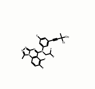 CCC(C)(O)C#Cc1cc(F)cc(N(CC(F)F)c2nc3nnc(C)n3c3ccc(F)c(F)c23)c1